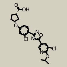 CC(C)Oc1ncc(-c2nc(-c3ccc(O[C@H]4CC[C@H](C(=O)O)C4)cc3Cl)no2)cc1Cl